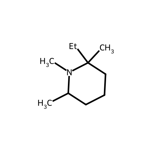 CCC1(C)CCCC(C)N1C